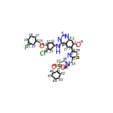 COc1cc2ncnc(Nc3ccc(OCc4cccc(F)c4)c(Cl)c3)c2cc1-c1csc(CN(C)CCS(=O)(=O)c2ccccc2)n1